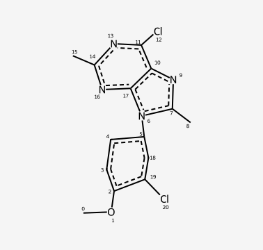 COc1ccc(-n2c(C)nc3c(Cl)nc(C)nc32)cc1Cl